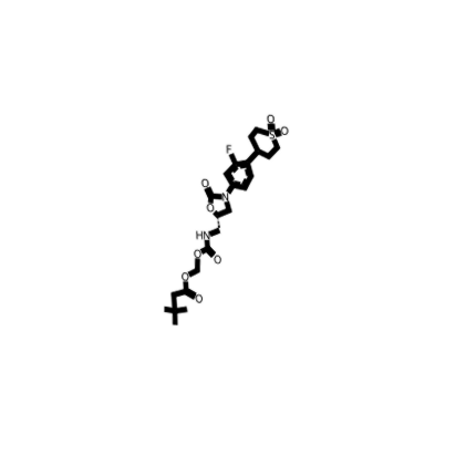 CC(C)(C)CC(=O)OCOC(=O)NC[C@H]1CN(c2ccc(C3CCS(=O)(=O)CC3)c(F)c2)C(=O)O1